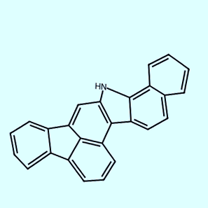 c1ccc2c(c1)-c1cccc3c1c-2cc1[nH]c2c4ccccc4ccc2c13